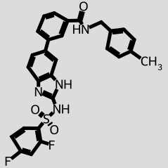 Cc1ccc(CNC(=O)c2cccc(-c3ccc4nc(NS(=O)(=O)c5ccc(F)cc5F)[nH]c4c3)c2)cc1